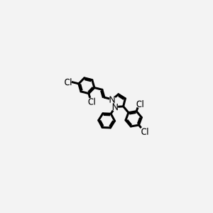 Clc1ccc(C=CN2C=CC(c3ccc(Cl)cc3Cl)N2c2ccccc2)c(Cl)c1